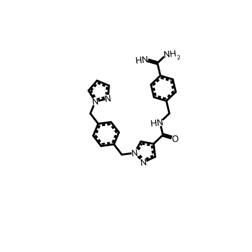 N=C(N)c1ccc(CNC(=O)c2cnn(Cc3ccc(Cn4cccn4)cc3)c2)cc1